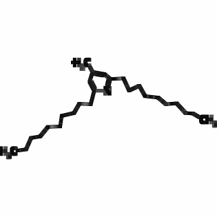 [CH2]c1cc(CCCCCCCCCC)nc(CCCCCCCCCC)c1